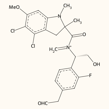 C=[N+](C(=O)C1(C)Cc2c(cc(OC)c(Cl)c2Cl)N1C)[C@H](CO)c1ccc(CC=O)cc1F